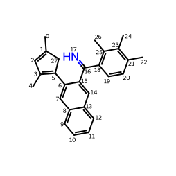 CC1=CC(C)=C(c2cc3ccccc3cc2C(=N)c2ccc(C)c(C)c2C)C1